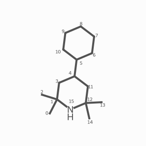 CC1(C)CC(C2CCCCC2)CC(C)(C)N1